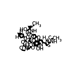 CC[C@@H]1CC1(NC(=O)[C@@H]1C[C@@H](Oc2cc(-c3csc(NC(C)C)n3)nc3c(O)c(OCCN4CCOCC4)ccc23)CN1C(=O)[C@@H](NC(=O)O[C@@H]1C[C@@H]2C[C@@H]2C1)C(C)(C)C)C(=O)O